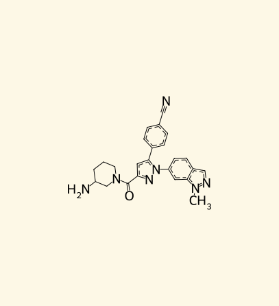 Cn1ncc2ccc(-n3nc(C(=O)N4CCCC(N)C4)cc3-c3ccc(C#N)cc3)cc21